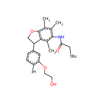 Cc1c(C)c2c(c(C)c1NC(=O)CC(C)(C)C)C(c1ccc(C(C)C)c(OCCO)c1)CO2